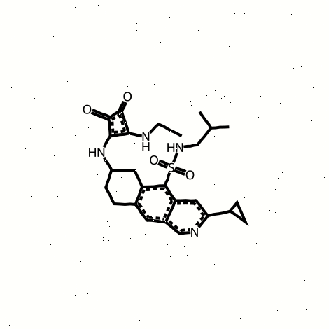 CCNc1c(NC2CCc3cc4cnc(C5CC5)cc4c(S(=O)(=O)NCC(C)C)c3C2)c(=O)c1=O